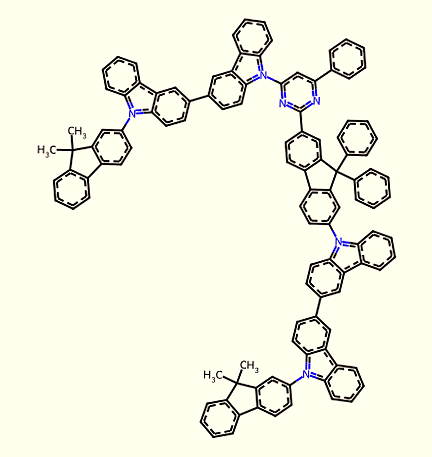 CC1(C)c2ccccc2-c2ccc(-n3c4ccccc4c4cc(-c5ccc6c(c5)c5ccccc5n6-c5ccc6c(c5)C(c5ccccc5)(c5ccccc5)c5cc(-c7nc(-c8ccccc8)cc(-n8c9ccccc9c9cc(-c%10ccc%11c(c%10)c%10ccccc%10n%11-c%10ccc%11c(c%10)C(C)(C)c%10ccccc%10-%11)ccc98)n7)ccc5-6)ccc43)cc21